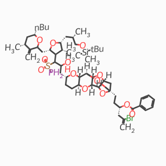 C=C(Br)C[C@H](CC[C@@]12C[C@H]3O[C@H]4[C@@H](O1)[C@H]1O[C@@H](CC(O)C(C5[C@H](CC6O[C@@H](CCCC)C[C@@H](C)C6=C)O[C@H](C[C@H](C)CO[Si](C)(C)C(C)(C)C)[C@@H]5C)S(=O)(=O)P)CC[C@@H]1O[C@H]4[C@H]3O2)OC(=O)c1ccccc1